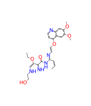 C\C=C/C(=N\C=C\Oc1ccnc2cc(OC)c(OC)cc12)NC(=O)C(=N)/C(=C\NCCO)OCC